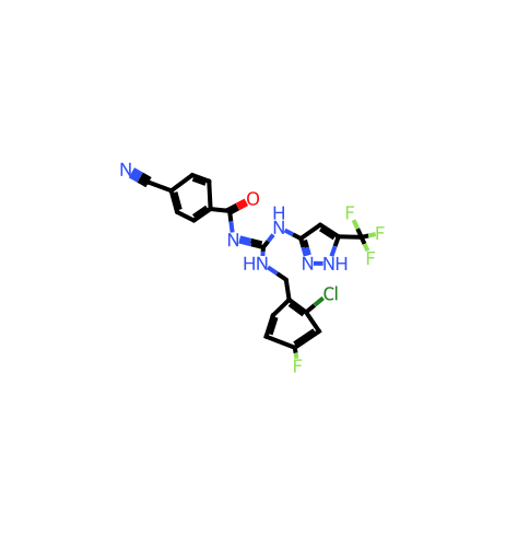 N#Cc1ccc(C(=O)/N=C(/NCc2ccc(F)cc2Cl)Nc2cc(C(F)(F)F)[nH]n2)cc1